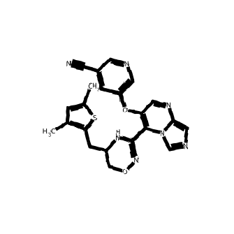 Cc1cc(C)c(CC2CON=C(c3c(Oc4cncc(C#N)c4)cnc4cncn34)N2)s1